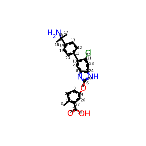 Cc1ccc(Oc2nc3cc(-c4ccc(C(C)(C)N)cc4)c(Cl)cc3[nH]2)cc1C(=O)O